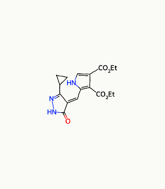 CCOC(=O)c1c[nH]c(C=C2C(=O)NN=C2C2CC2)c1C(=O)OCC